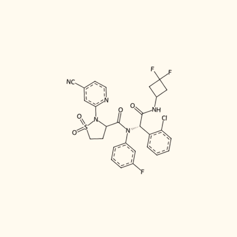 N#Cc1ccnc(N2C(C(=O)N(c3cccc(F)c3)[C@H](C(=O)NC3CC(F)(F)C3)c3ccccc3Cl)CCS2(=O)=O)c1